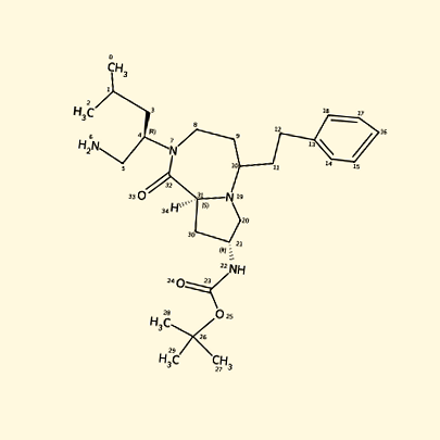 CC(C)C[C@H](CN)N1CCC(CCc2ccccc2)N2C[C@H](NC(=O)OC(C)(C)C)C[C@H]2C1=O